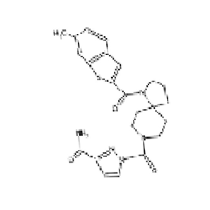 Cc1ccc2cc(C(=O)N3CCCC34CCN(C(=O)n3ccc(C(N)=O)n3)CC4)sc2c1